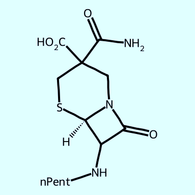 CCCCCNC1C(=O)N2CC(C(N)=O)(C(=O)O)CS[C@H]12